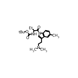 CCC(NC(=O)OC(C)(C)C)C(=O)n1cc(CCN(C)C)c2cc(C)ccc21